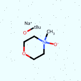 CC(C)(C)[O-].C[N+]1([O-])CCOCC1.[Na+]